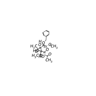 CO[C@@H]1O[C@H](C(O)C(C)=O)[C@](O)(C(C)=O)[C@@](O)(C(C)=O)[C@H]1OCc1ccccc1